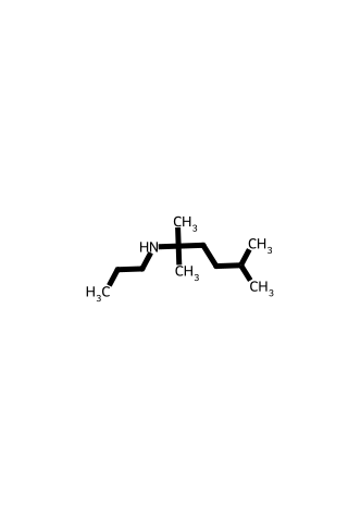 CCCNC(C)(C)CCC(C)C